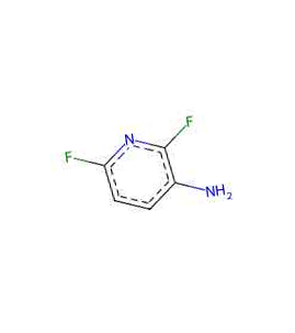 Nc1ccc(F)nc1F